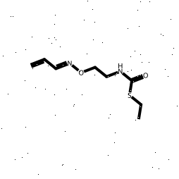 C=CC=NOCCNC(=O)SCC